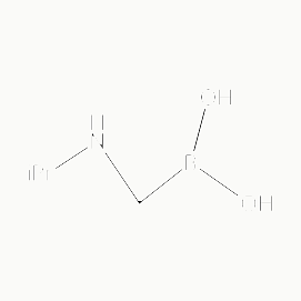 CC(C)NCB(O)O